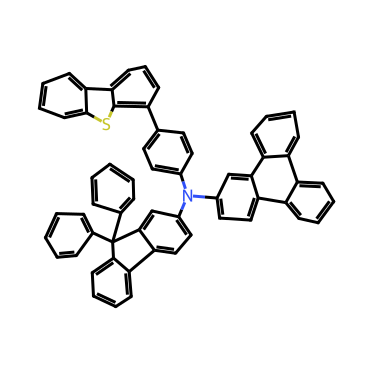 c1ccc(C2(c3ccccc3)c3ccccc3-c3ccc(N(c4ccc(-c5cccc6c5sc5ccccc56)cc4)c4ccc5c6ccccc6c6ccccc6c5c4)cc32)cc1